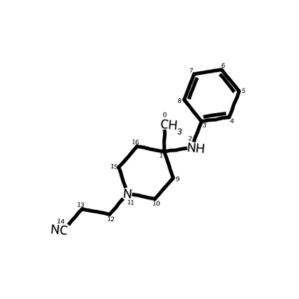 CC1(Nc2ccccc2)CCN(CCC#N)CC1